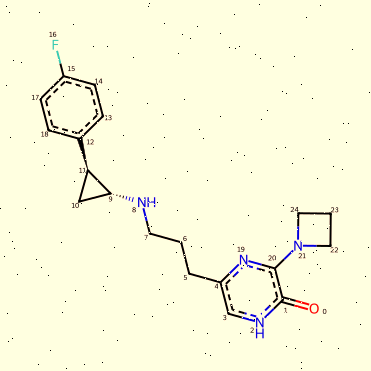 O=c1[nH]cc(CCCN[C@@H]2C[C@H]2c2ccc(F)cc2)nc1N1CCC1